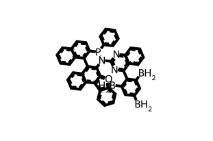 Bc1cc(B)c(-c2nc(N3c4c(c5ccccc5c5c4oc4ccccc45)-c4c(ccc5ccccc45)P3c3ccccc3)nc3ccccc23)c(B)c1